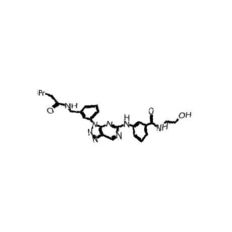 CC(C)CC(=O)NCc1cccc(-n2nnc3cnc(Nc4cccc(C(=O)NCCO)c4)nc32)c1